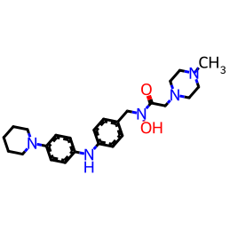 CN1CCN(CC(=O)N(O)Cc2ccc(Nc3ccc(N4CCCCC4)cc3)cc2)CC1